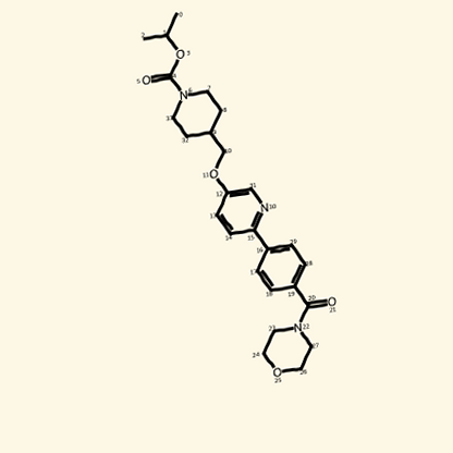 CC(C)OC(=O)N1CCC(COc2ccc(-c3ccc(C(=O)N4CCOCC4)cc3)nc2)CC1